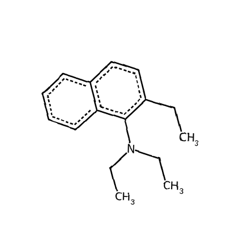 CCc1ccc2ccccc2c1N(CC)CC